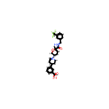 CC1(C(=O)NCc2cccc(C(F)(F)F)c2)CC[C@@H](N2CCC(c3cccc(C(=O)O)c3)CC2)CO1